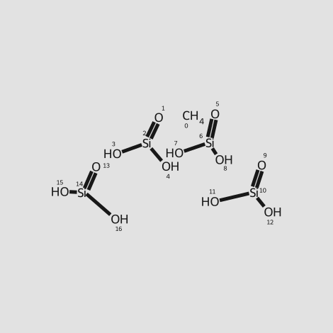 C.O=[Si](O)O.O=[Si](O)O.O=[Si](O)O.O=[Si](O)O